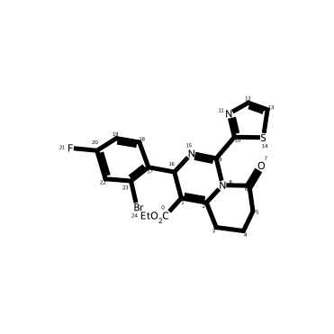 CCOC(=O)C1=C2CCCC(=O)N2C(c2nccs2)=NC1c1ccc(F)cc1Br